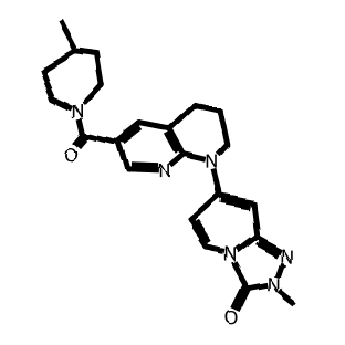 CC1CCN(C(=O)c2cnc3c(c2)CCCN3c2ccn3c(=O)n(C)nc3c2)CC1